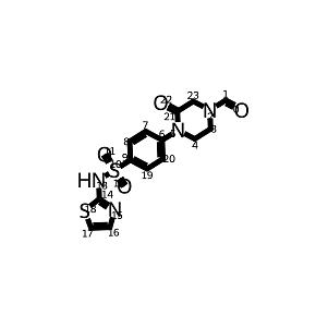 O=CN1CCN(c2ccc(S(=O)(=O)Nc3nccs3)cc2)C(=O)C1